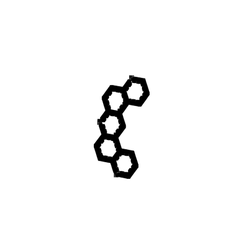 c1cnc2ccc3nc4ccc5ncccc5c4cc3c2c1